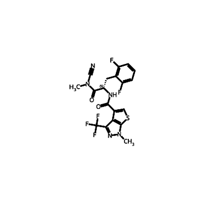 CN(C#N)C(=O)[C@H](Cc1c(F)cccc1F)NC(=O)c1csc2c1c(C(F)(F)F)nn2C